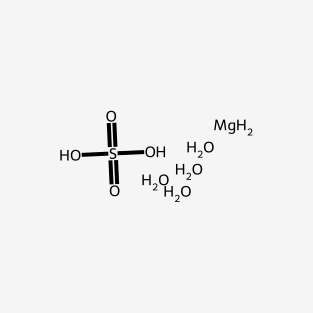 O.O.O.O.O=S(=O)(O)O.[MgH2]